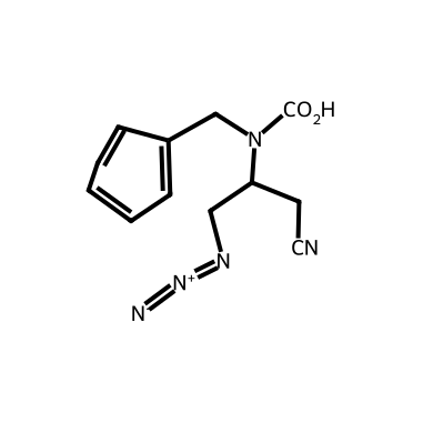 N#CCC(CN=[N+]=[N-])N(Cc1ccccc1)C(=O)O